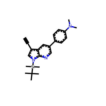 C#Cc1cn([Si](C)(C)C(C)(C)C)c2ncc(-c3ccc(N(C)C)cc3)cc12